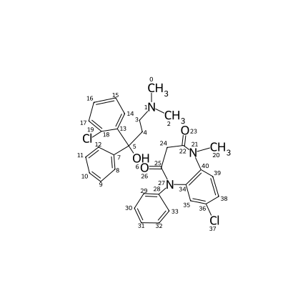 CN(C)CCC(O)(c1ccccc1)c1ccccc1Cl.CN1C(=O)CC(=O)N(c2ccccc2)c2cc(Cl)ccc21